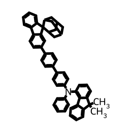 CC1(C)c2ccccc2-c2c(N(c3ccccc3)c3ccc(-c4ccc(-c5ccc6c(c5)C5(c7ccccc7-6)C6CC7CC(C6)CC5C7)cc4)cc3)cccc21